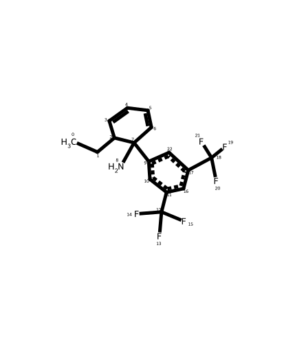 CCC1C=CC=CC1(N)c1cc(C(F)(F)F)cc(C(F)(F)F)c1